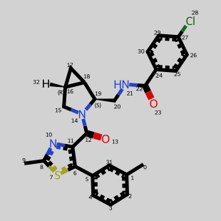 Cc1cccc(-c2sc(C)nc2C(=O)N2C[C@@H]3CC3[C@H]2CNC(=O)c2ccc(Cl)cc2)c1